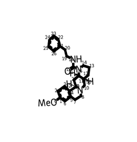 COc1ccc2c(c1)CCN1C[C@H]3CCCN(C(=O)NCCc4ccccc4)[C@H]3C[C@H]21